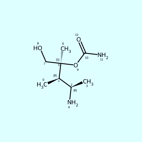 C[C@H]([C@@H](C)N)[C@@](C)(CO)OC(N)=O